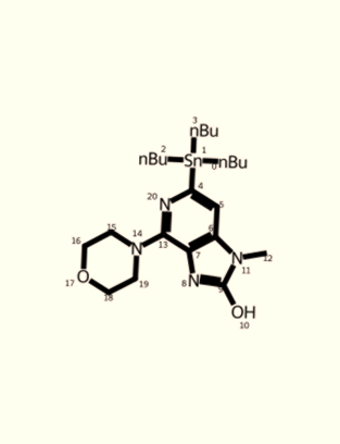 CCC[CH2][Sn]([CH2]CCC)([CH2]CCC)[c]1cc2c(nc(O)n2C)c(N2CCOCC2)n1